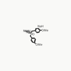 COc1ccc(CS(=O)(=O)Cc2ccc(OC)cc2)cc1.[NaH].[NaH].[NaH].[NaH]